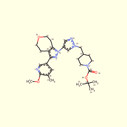 COc1ncc(-c2nn(-c3cnn(CC4CCN(C(=O)OC(C)(C)C)CC4)c3)c3c2CCOCC3)cc1C